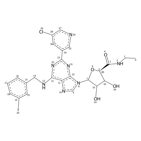 CCNC(=O)[C@@H]1OC(n2cnc3c(NCc4cccc(I)c4)nc(-c4cncc(Cl)c4)nc32)C(O)C1O